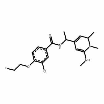 CNC1=CC(C(C)NC(=O)c2ccc(OCCF)c(Cl)c2)=CC(C)N1C